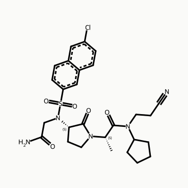 C[C@@H](C(=O)N(CCC#N)C1CCCC1)N1CC[C@H](N(CC(N)=O)S(=O)(=O)c2ccc3cc(Cl)ccc3c2)C1=O